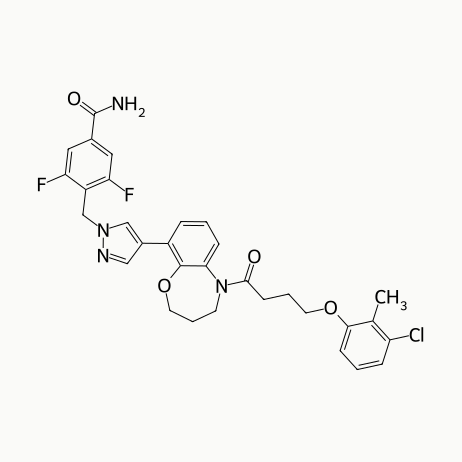 Cc1c(Cl)cccc1OCCCC(=O)N1CCCOc2c(-c3cnn(Cc4c(F)cc(C(N)=O)cc4F)c3)cccc21